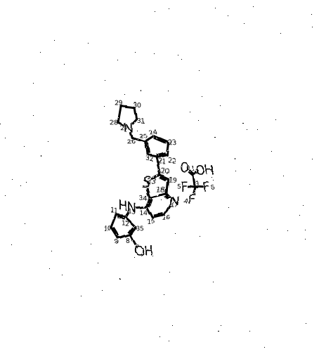 O=C(O)C(F)(F)F.Oc1cccc(Nc2ccnc3cc(-c4cccc(CN5CCCC5)c4)sc23)c1